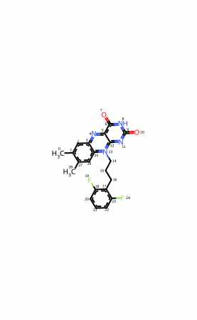 Cc1cc2nc3c(=O)[nH]c(=O)nc-3n(CCCc3c(F)cccc3F)c2cc1C